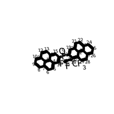 O=P(c1cc2ccc3cccc4ccc(c1)c2c34)(c1cc2ccc3cccc4ccc(c1)c2c34)C(F)(F)CC(F)(F)F